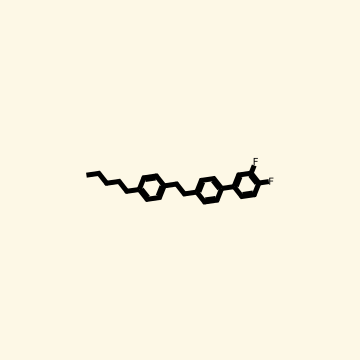 CCCCCc1ccc(CCc2ccc(-c3ccc(F)c(F)c3)cc2)cc1